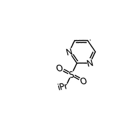 CC(C)S(=O)(=O)c1nc[c]cn1